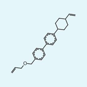 C=CCOCc1ccc(-c2ccc(C3CCC(C=C)CC3)cc2)cc1